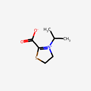 CC(C)[N+]1=C(C(=O)[O-])SCC1